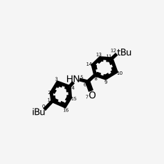 CCC(C)c1ccc(NC(=O)c2ccc(C(C)(C)C)cc2)cc1